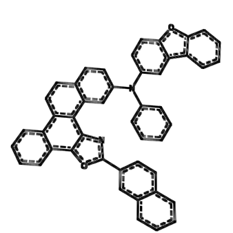 c1ccc(N(c2ccc3oc4ccccc4c3c2)c2ccc3ccc4c5ccccc5c5oc(-c6ccc7ccccc7c6)nc5c4c3c2)cc1